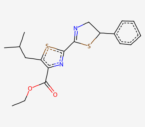 CCOC(=O)c1nc(C2=NCC(c3ccccc3)S2)sc1CC(C)C